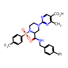 Cc1nc(N2CCN(S(=O)(=O)c3ccc(C(F)(F)F)cc3)C(C(=O)NCc3ccc(C(C)C)cc3)C2)ncc1C(=O)O